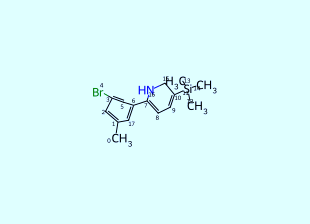 Cc1cc(Br)cc(C2=CC=C([Si](C)(C)C)CN2)c1